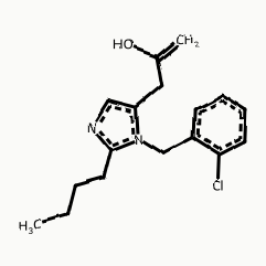 C=C(O)Cc1cnc(CCCC)n1Cc1ccccc1Cl